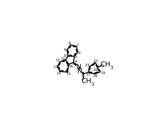 CC(=NN=C1c2ccccc2-c2ccccc21)c1ccc(C)cc1